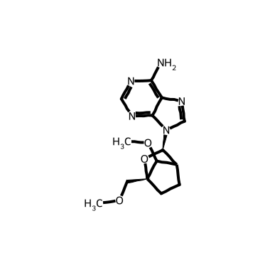 COC[C@]12CCC(C1OC)[C@H](n1cnc3c(N)ncnc31)O2